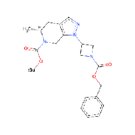 C[C@@H]1Cc2cnn(C3CN(C(=O)OCc4ccccc4)C3)c2CN1C(=O)OC(C)(C)C